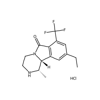 CCc1cc2c(c(C(F)(F)F)c1)C(=O)N1CCN[C@@H](C)[C@@H]21.Cl